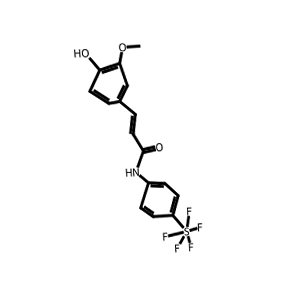 COc1cc(/C=C/C(=O)Nc2ccc(S(F)(F)(F)(F)F)cc2)ccc1O